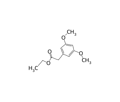 CCOC(=O)Cc1cc(OC)cc(OC)c1